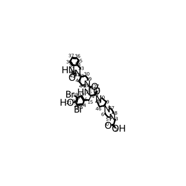 O=C(O)CN1CCN(C2CCN(C(=O)[C@@H](Cc3cc(Br)c(O)c(Br)c3)NC(=O)N3CCC(N4Cc5ccccc5NC4=O)CC3)CC2)CC1